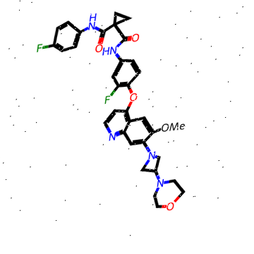 COc1cc2c(Oc3ccc(NC(=O)C4(C(=O)Nc5ccc(F)cc5)CC4)cc3F)ccnc2cc1N1CC(N2CCOCC2)C1